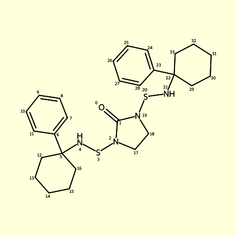 O=C1N(SNC2(c3ccccc3)CCCCC2)CCN1SNC1(c2ccccc2)CCCCC1